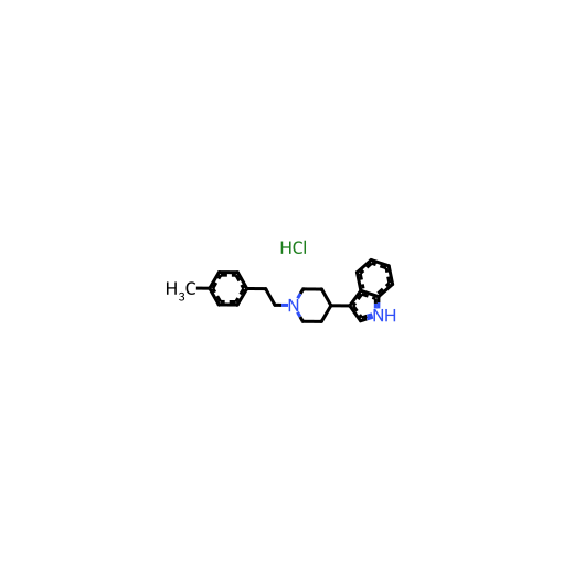 Cc1ccc(CCN2CCC(c3c[nH]c4ccccc34)CC2)cc1.Cl